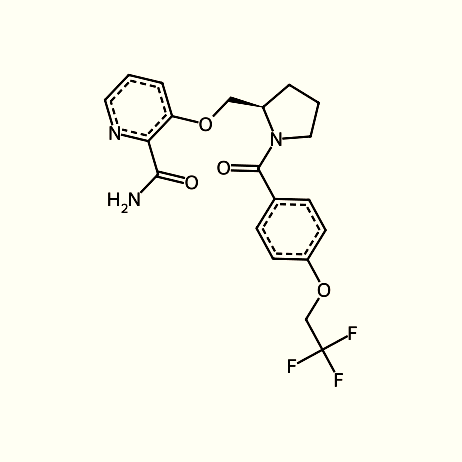 NC(=O)c1ncccc1OC[C@H]1CCCN1C(=O)c1ccc(OCC(F)(F)F)cc1